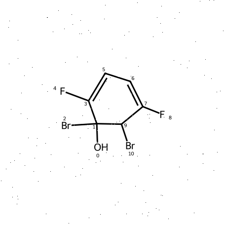 OC1(Br)C(F)=CC=C(F)C1Br